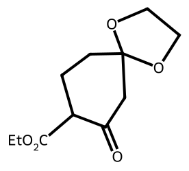 CCOC(=O)C1CCC2(CC1=O)OCCO2